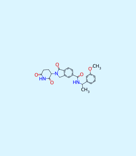 COc1cccc(C(C)NC(=O)c2ccc3c(c2)CN(C2CCC(=O)NC2=O)C3=O)c1